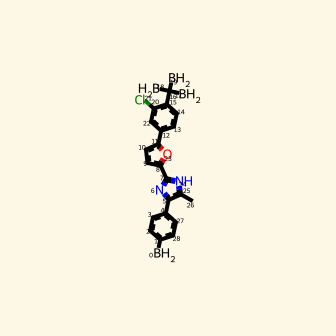 Bc1ccc(-c2nc(-c3ccc(-c4ccc(C(B)(B)B)c(Cl)c4)o3)[nH]c2C)cc1